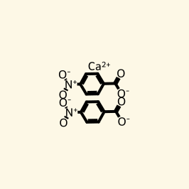 O=C([O-])c1ccc([N+](=O)[O-])cc1.O=C([O-])c1ccc([N+](=O)[O-])cc1.[Ca+2]